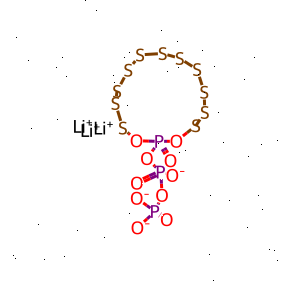 O=P([O-])([O-])OP(=O)([O-])OP1(=O)OSSSSSSSSSSSO1.[Li+].[Li+].[Li+]